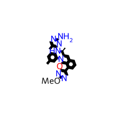 COc1ncc(-c2cccc3cc([C@H](C)Nc4nc(N)ncc4C)n(-c4cccc(C)c4)c(=O)c23)cn1